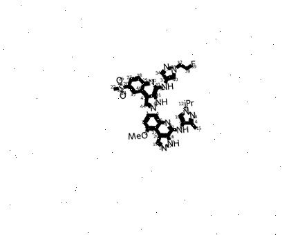 COc1cccc2nc(Nc3cn(C(C)C)nc3C)c3[nH]ncc3c12.CS(=O)(=O)c1ccc2nc(Nc3cnn(CCF)c3)c3[nH]ncc3c2c1